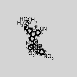 CC(C)(O)Cn1ccc2cc(-c3ccc(C(=O)N4[C@H]5CC[C@@H]4[C@H](NS(=O)(=O)c4ccc([N+](=O)[O-])cc4[N+](=O)[O-])C5)cc3-c3ccc(C#N)c(F)c3)c(F)cc21